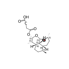 C[C@@H]1[C@H](OC(=O)CCC(=O)O)O[C@H]2O[C@]3(C)CC[C@@H]4[C@@H](C)CC[C@H]1[C@]24OO3